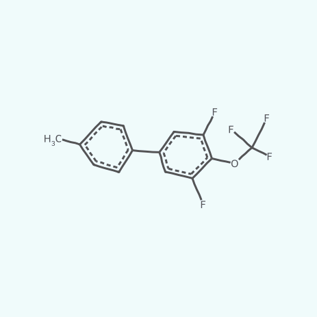 Cc1ccc(-c2cc(F)c(OC(F)(F)F)c(F)c2)cc1